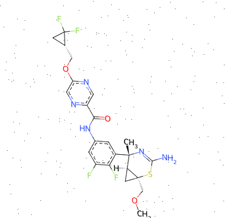 COC[C@]12C[C@H]1[C@](C)(c1cc(NC(=O)c3cnc(OC[C@@H]4CC4(F)F)cn3)cc(F)c1F)N=C(N)S2